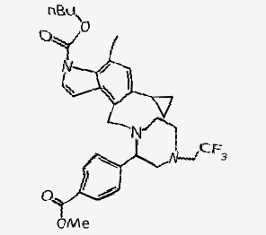 CCCCOC(=O)n1ccc2c(CN3CCN(CC(F)(F)F)CC3c3ccc(C(=O)OC)cc3)c(C3CC3)cc(C)c21